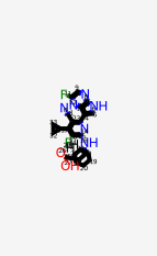 N#Cc1c(-c2c[nH]c3ncc(F)nc23)nc(N[C@@H]2C3CCC(CC3)[C@H]2C(=O)O)c(F)c1C1CC1